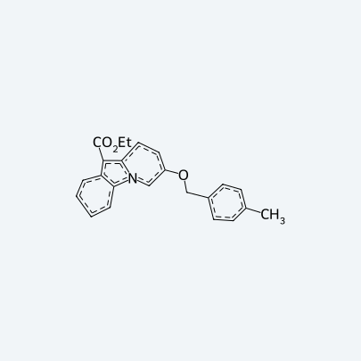 CCOC(=O)c1c2ccccc2n2cc(OCc3ccc(C)cc3)ccc12